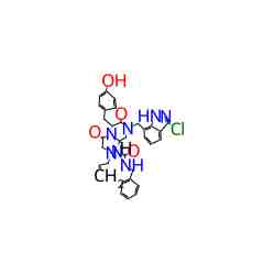 C=CCN1CC(=O)N2C(Cc3ccc(O)cc3)C(=O)N(Cc3cccc4c(Cl)n[nH]c34)C[C@@H]2N1C(=O)NCc1ccccc1